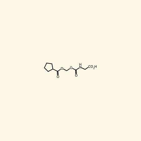 O=C(O)CNC(=O)OCOC(=O)C1CCCC1